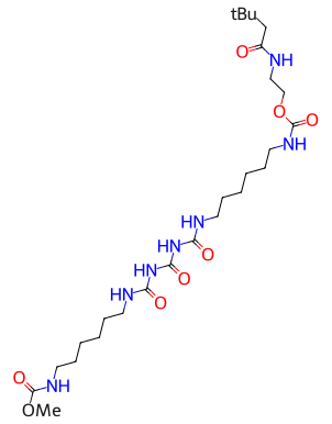 COC(=O)NCCCCCCNC(=O)NC(=O)NC(=O)NCCCCCCNC(=O)OCCNC(=O)CC(C)(C)C